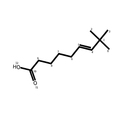 CC(C)(C)/C=C/CCCCC(=O)O